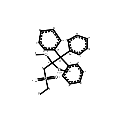 [CH2]CS(=O)(=O)CC(OC)(OC)C(c1ccccc1)(c1ccccc1)c1ccccc1